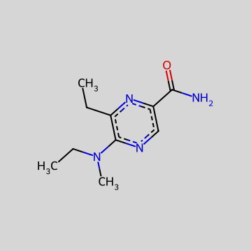 CCc1nc(C(N)=O)cnc1N(C)CC